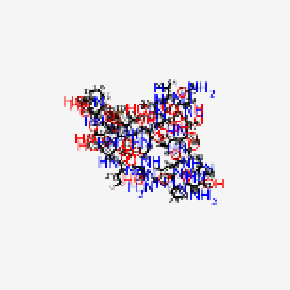 CC[C@H](C)[C@H](NC(=O)[C@H](CO)NC(=O)CNC(=O)[C@@H](NC(=O)[C@H](CO)NC(=O)[C@H](CO)NC(=O)[C@@H](NC(=O)[C@H](CC(N)=O)NC(=O)[C@H](CO)NC(=O)[C@H](CC(C)C)NC(=O)[C@H](Cc1c[nH]cn1)NC(=O)[C@H](CCCNC(=N)N)NC(=O)[C@@H]1CCCN1C(=O)[C@@H](N)CO)C(C)C)[C@@H](C)O)C(=O)N[C@@H](CC(=O)O)C(=O)N[C@@H](CCSC)C(=O)N[C@H](C(=O)N[C@@H](CC(=O)O)C(=O)N[C@@H](CO)C(=O)N1CCC[C@H]1C(=O)O)C(C)C